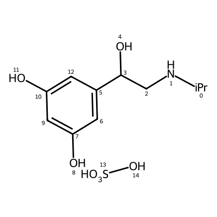 CC(C)NCC(O)c1cc(O)cc(O)c1.O=S(=O)(O)O